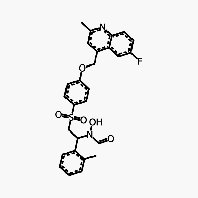 Cc1cc(COc2ccc(S(=O)(=O)CC(c3ccccc3C)N(O)C=O)cc2)c2cc(F)ccc2n1